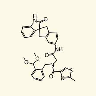 COC(OC)c1ccccc1CN(CC(=O)Nc1ccc2c(c1)CC1(C2)C(=O)Nc2ccccc21)C(=O)c1csc(C)n1